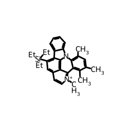 CC[Si](CC)(CC)c1cc2cc[n+](C)c3c4c(C)c(C)cc(C)c4n4c5ccccc5c1c4c23